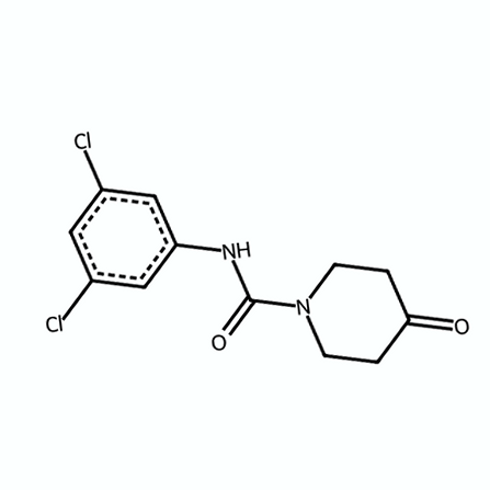 O=C1CCN(C(=O)Nc2cc(Cl)cc(Cl)c2)CC1